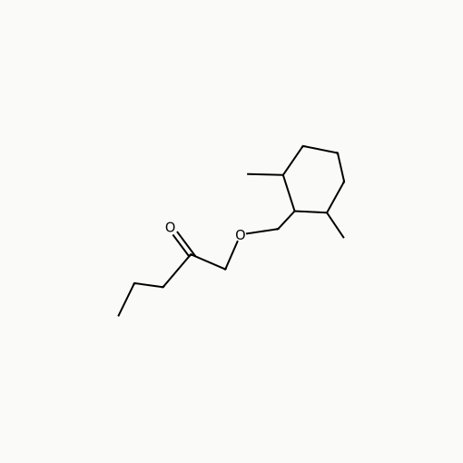 CCCC(=O)COCC1C(C)CCCC1C